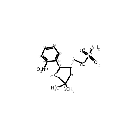 CC1(C)C[C@@H](COS(N)(=O)=O)[C@H](c2ccccc2[N+](=O)[O-])O1